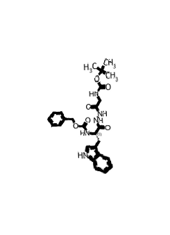 CC(C)(C)OC(=O)NCC(=O)NNC(=O)[C@H](Cc1c[nH]c2ccccc12)NC(=O)OCc1ccccc1